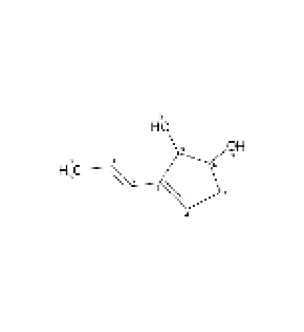 CC=CC1=CCC(O)C1O